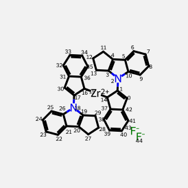 C1=C(n2c3c(c4ccccc42)CCC3)[CH]([Zr+2][CH]2C(n3c4c(c5ccccc53)CCC4)=Cc3ccccc32)c2ccccc21.[F-].[F-]